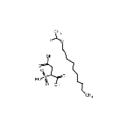 CCCCCCCCCCO[CH](C)[K].O=C(O)CC(C(=O)O)S(=O)(=O)O